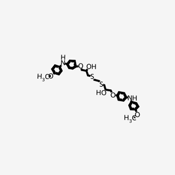 COc1ccc(Nc2ccc(OCC(O)CSCCSCC(O)COc3ccc(Nc4ccc(OC)cc4)cc3)cc2)cc1